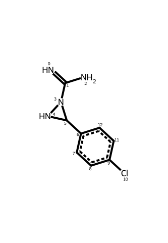 N=C(N)N1NC1c1ccc(Cl)cc1